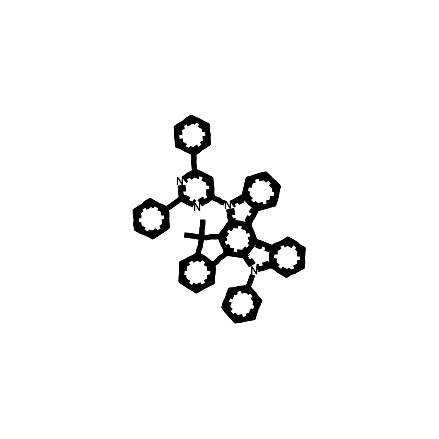 CC1(C)c2ccccc2-c2c1c1c(c3ccccc3n1-c1cc(-c3ccccc3)nc(-c3ccccc3)n1)c1c3ccccc3n(-c3ccccc3)c21